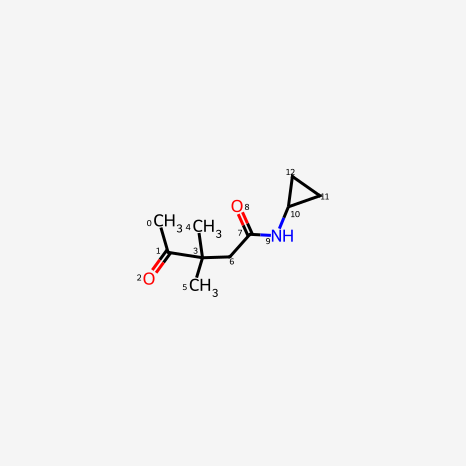 CC(=O)C(C)(C)CC(=O)NC1CC1